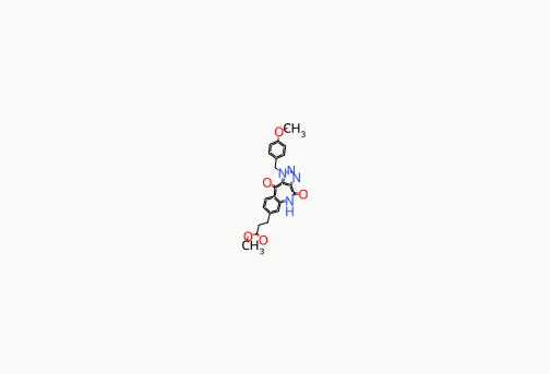 COC(=O)CCc1ccc2c(=O)c3c(nnn3Cc3ccc(OC)cc3)c(=O)[nH]c2c1